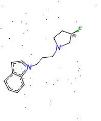 F[C@@H]1CCN(CCCn2ccc3ccccc32)C1